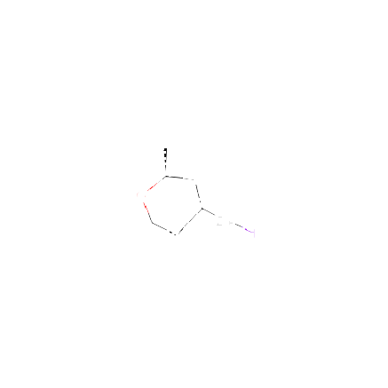 C[C@H]1C[CH]([Zn][I])CCO1